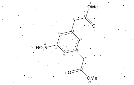 COC(=O)Cc1cc(CC(=O)OC)cc(S(=O)(=O)O)c1